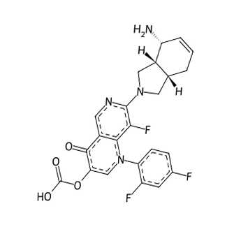 N[C@@H]1C=CC[C@@H]2CN(c3ncc4c(=O)c(OC(=O)O)cn(-c5ccc(F)cc5F)c4c3F)C[C@@H]21